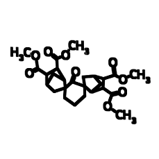 COC(=O)C1C2CC(C1C(=O)OC)C1(CCCC3(CC4CC3C(C(=O)OC)C4C(=O)OC)C1=O)C2